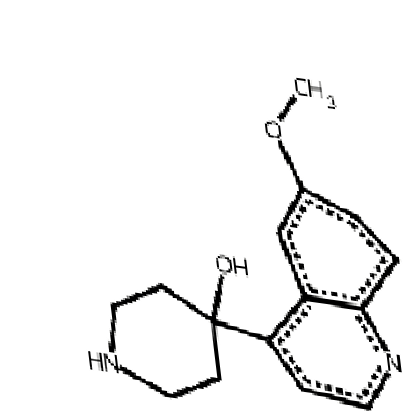 COc1ccc2nccc(C3(O)CCNCC3)c2c1